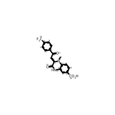 CN1C(=CC(=O)c2ccc(C(F)(F)F)cc2)C(=O)Nc2cc(C(=O)O)ccc21